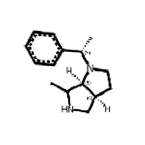 CC1NC[C@@H]2CCN([C@@H](C)c3ccccc3)[C@H]12